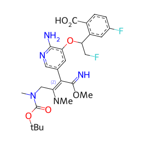 CN/C(CN(C)C(=O)OC(C)(C)C)=C(\C(=N)OC)c1cnc(N)c(OC(CF)c2cc(F)ccc2C(=O)O)c1